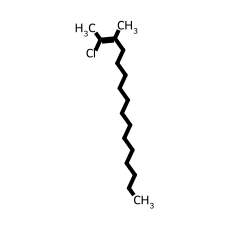 CCCCCCCCCCCCCC(C)=C(C)Cl